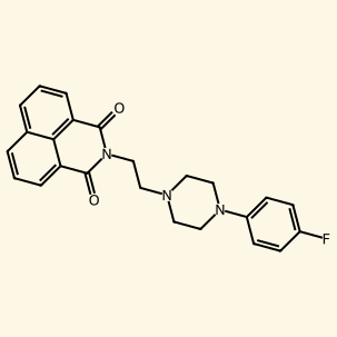 O=C1c2cccc3cccc(c23)C(=O)N1CCN1CCN(c2ccc(F)cc2)CC1